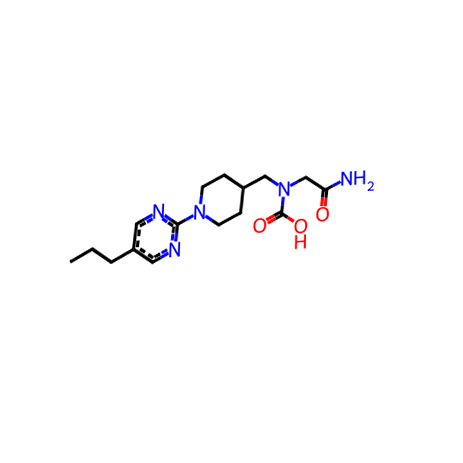 CCCc1cnc(N2CCC(CN(CC(N)=O)C(=O)O)CC2)nc1